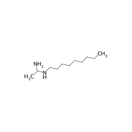 CCCCCCCCCNC(C)N